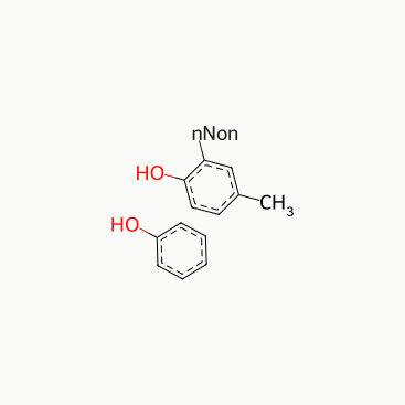 CCCCCCCCCc1cc(C)ccc1O.Oc1ccccc1